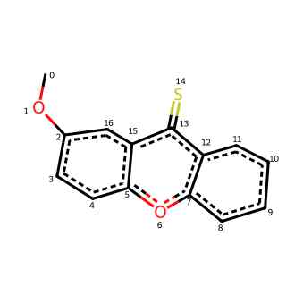 COc1ccc2oc3ccccc3c(=S)c2c1